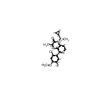 COc1cc(Cl)c(-c2nccc3c2nc(C)c(=O)n3[C@@H](C)C2CC2)cc1F